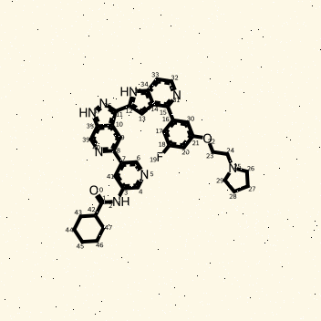 O=C(Nc1cncc(-c2cc3c(-c4cc5c(-c6cc(F)cc(OCCN7CCCC7)c6)nccc5[nH]4)n[nH]c3cn2)c1)C1CCCCC1